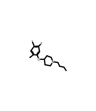 CCCCN1CCC(Oc2cc(F)c(I)cc2C)CC1